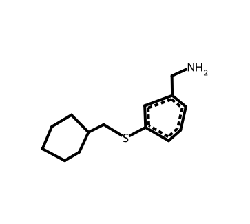 NCc1cccc(SCC2CCCCC2)c1